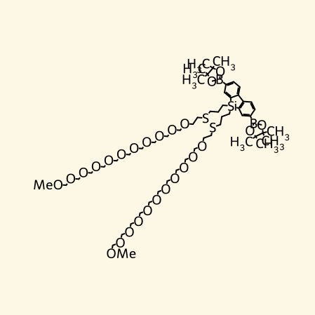 COCOCOCOCOCOCOCOCOCOCOCCSCCC[Si]1(CCCSCCOCOCOCOCOCOCOCOCOCOCOC)c2cc(B3OC(C)(C)C(C)(C)O3)ccc2-c2ccc(B3OC(C)(C)C(C)(C)O3)cc21